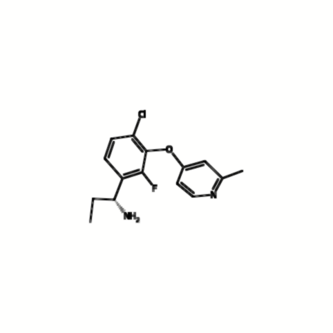 CC[C@@H](N)c1ccc(Cl)c(Oc2ccnc(C)c2)c1F